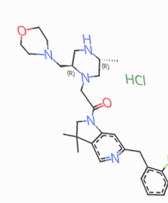 C[C@@H]1CN(CC(=O)N2CC(C)(C)c3cnc(Cc4ccccc4F)cc32)[C@@H](CN2CCOCC2)CN1.Cl